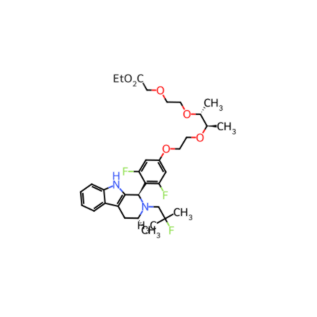 CCOC(=O)COCCO[C@H](C)[C@@H](C)OCCOc1cc(F)c([C@@H]2c3[nH]c4ccccc4c3C[C@@H](C)N2CC(C)(C)F)c(F)c1